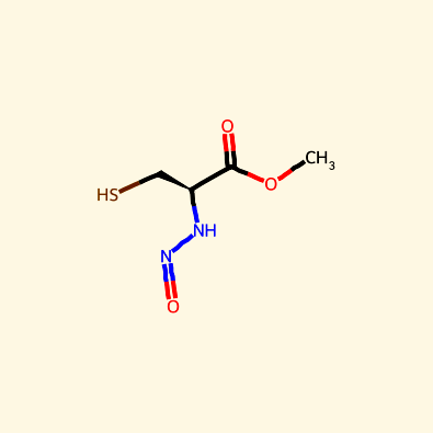 COC(=O)[C@H](CS)NN=O